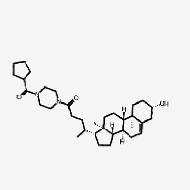 CC(CCC(=O)N1CCN(C(=O)C2CCCC2)CC1)[C@H]1CC[C@H]2[C@@H]3CC=C4C[C@@H](O)CC[C@]4(C)[C@H]3CC[C@]12C